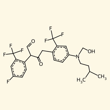 CC(C)CCN(CO)c1ccc(CC(=O)C(C=O)c2ccc(F)cc2C(F)(F)F)c(C(F)(F)F)c1